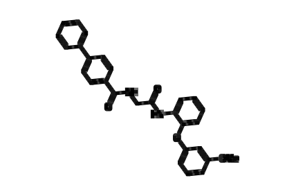 COc1cccc(Oc2ccccc2NC(=O)CNC(=O)c2ccc(-c3ccccc3)cc2)c1